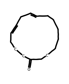 O=C1CCC/C=C/C/C=C/CCCCCCC1